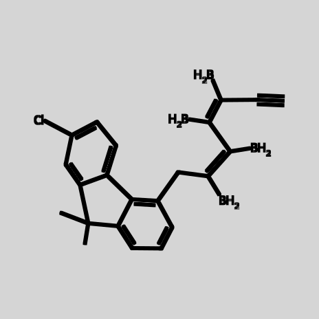 B/C(C#C)=C(B)/C(B)=C(/B)Cc1cccc2c1-c1ccc(Cl)cc1C2(C)C